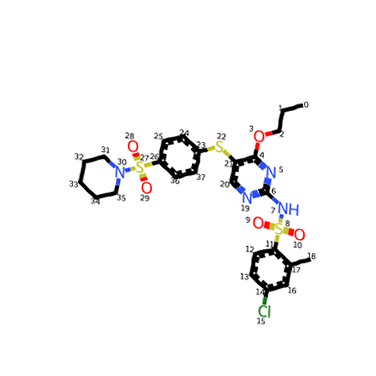 CCCOc1nc(NS(=O)(=O)c2ccc(Cl)cc2C)ncc1Sc1ccc(S(=O)(=O)N2CCCCC2)cc1